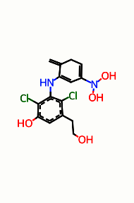 C=C1CC=C(N(O)O)C=C1Nc1c(Cl)c(O)cc(CCO)c1Cl